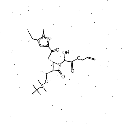 C=CCOC(=O)C(O)N1C(=O)[C@@H]([C@@H](C)O[Si](C)(C)C(C)(C)C)[C@@H]1CC(=O)c1cc(CC)n(C)n1